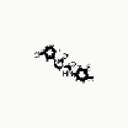 Cc1ccc(NC(=O)N2CCN(c3cccc(Cl)c3)C2=O)cc1F